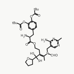 CC(=C(CCOC(=O)C(N)Cc1ccc(OC(=O)C(C)(C)C)c(OC(=O)C(C)(C)C)c1)C(S)(S)C1CCCO1)N(C=O)Cc1cnc(C)nc1N